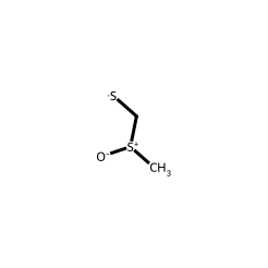 C[S+]([O-])C[S]